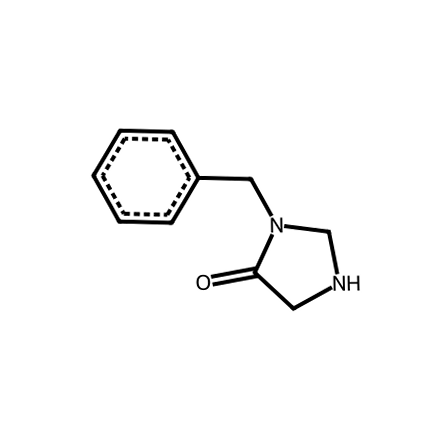 O=C1CNCN1Cc1ccccc1